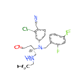 CCNC[C@H](CC=O)N(Cc1ccc(F)cc1F)c1ccc(C#N)c(Cl)c1